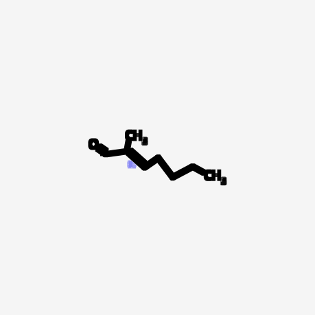 CCCC/C=C(\C)[C]=O